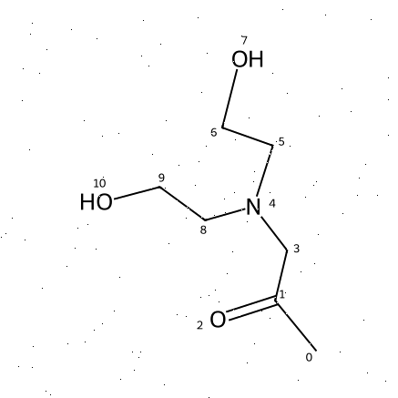 CC(=O)CN(CCO)CCO